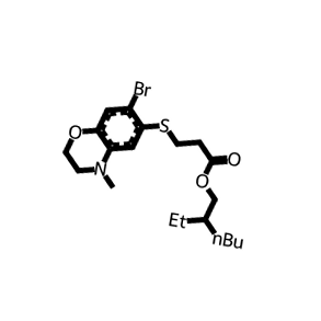 CCCCC(CC)COC(=O)CCSc1cc2c(cc1Br)OCCN2C